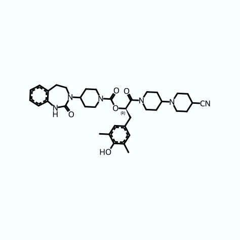 Cc1cc(C[C@@H](OC(=O)N2CCC(N3CCc4ccccc4NC3=O)CC2)C(=O)N2CCC(N3CCC(C#N)CC3)CC2)cc(C)c1O